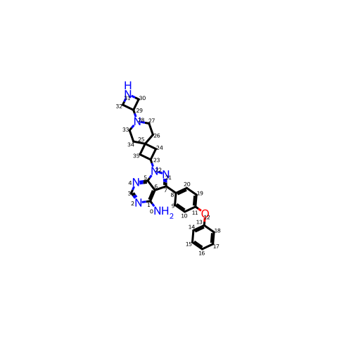 Nc1ncnc2c1c(-c1ccc(Oc3ccccc3)cc1)nn2C1CC2(CCN(C3CNC3)CC2)C1